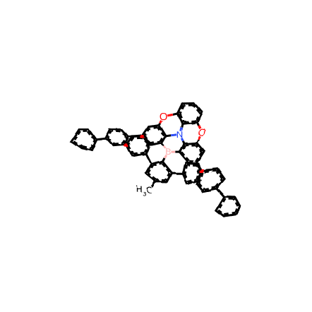 Cc1cc(-c2ccccc2)c(B2c3cc(-c4ccc(-c5ccccc5)cc4)cc4c3N3c5c(cccc5Oc5cc(-c6ccc(-c7ccccc7)cc6)cc2c53)O4)c(-c2ccccc2)c1